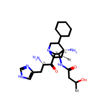 CCC(O)CC(=O)N[C@H]1C(C(=O)[C@@H](N)Cc2c[nH]cn2)N2CC[C@]1(N)C(C1CCCCC1)C2